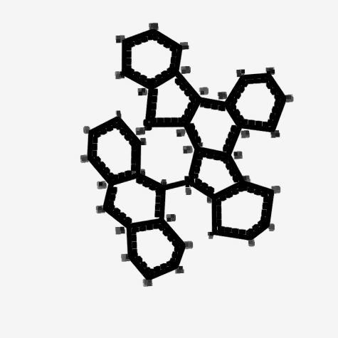 c1ccc2c(-n3c4ccccc4c4c5ccccc5c5c6ccccc6sc5c43)c3ccccc3cc2c1